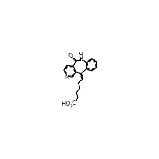 O=C(O)CCCCC=C1c2ccccc2NC(=O)c2ccncc21